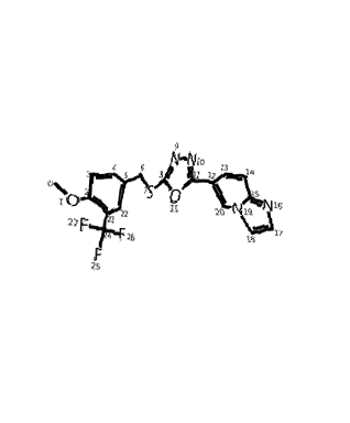 COc1ccc(CSc2nnc(-c3ccc4nccn4c3)o2)cc1C(F)(F)F